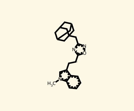 Cn1cc(C[CH]c2nc(CC34CC5CC(CC(C5)C3)C4)no2)c2ccccc21